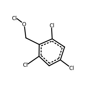 ClOCc1c(Cl)cc(Cl)cc1Cl